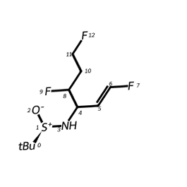 CC(C)(C)[S@@+]([O-])NC(C=CF)C(F)CCF